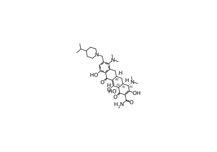 CC(C)C1CCN(Cc2cc(O)c3c(c2N(C)C)C[C@H]2C[C@H]4[C@H](N(C)C)C(O)=C(C(N)=O)C(=O)[C@@]4(O)C(O)=C2C3=O)CC1